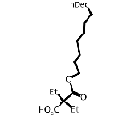 CCCCCCCCCCCCCCCCCOC(=O)C(CC)(CC)C(=O)O